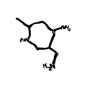 CC1CN(N)C(CN)CN1